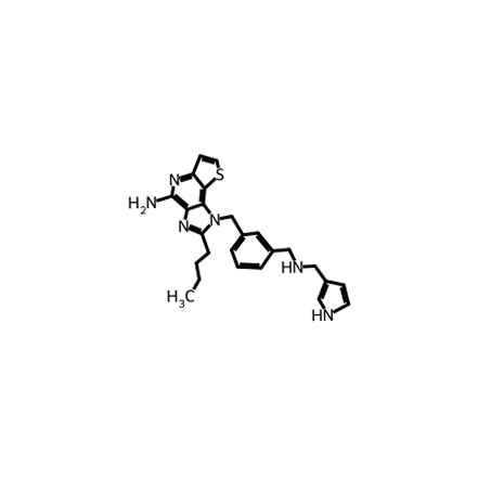 CCCCc1nc2c(N)nc3ccsc3c2n1Cc1cccc(CNCc2cc[nH]c2)c1